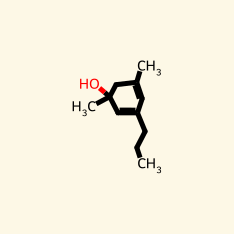 CCCC1=CC(C)(O)CC(C)=C1